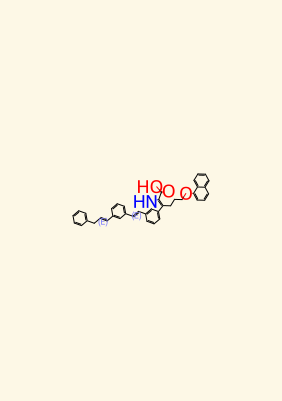 O=C(O)c1[nH]c2c(/C=C/c3cccc(/C=C/Cc4ccccc4)c3)cccc2c1CCCOc1cccc2ccccc12